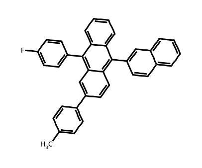 Cc1ccc(-c2ccc3c(-c4ccc5ccccc5c4)c4ccccc4c(-c4ccc(F)cc4)c3c2)cc1